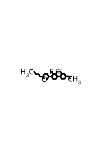 CCCCCC1CCC(c2ccc(-c3ccc(CC)cc3F)c(F)c2F)CO1